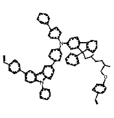 C=Cc1ccc(OCC(C)CCC(C)CC2(c3ccccc3)c3ccccc3-c3ccc(N(c4ccc(-c5ccccc5)cc4)c4ccc(-c5ccc6c(c5)c5cc(-c7ccc(C=C)cc7)ccc5n6-c5ccccc5)cc4)cc32)cc1